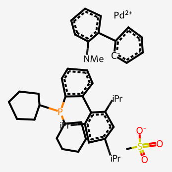 CC(C)c1cc(C(C)C)c(-c2ccccc2P(C2CCCCC2)C2CCCCC2)c(C(C)C)c1.CNc1ccccc1-c1[c-]cccc1.CS(=O)(=O)[O-].[Pd+2]